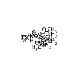 C=C(C)C(=O)CCC(COC(=O)NCC1CC2CCC1C2)(COC(=O)C(=C)C)COC(=O)C(=C)C